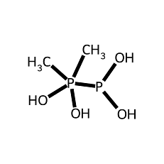 CP(C)(O)(O)P(O)O